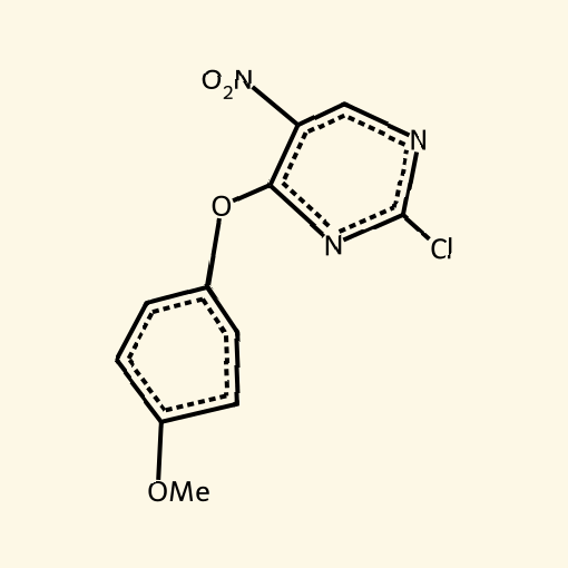 COc1ccc(Oc2nc(Cl)ncc2[N+](=O)[O-])cc1